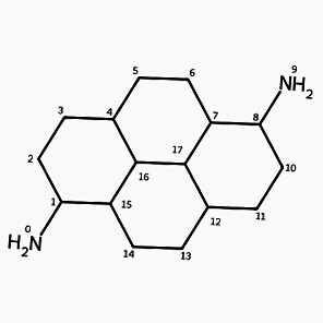 NC1CCC2CCC3C(N)CCC4CCC1C2C43